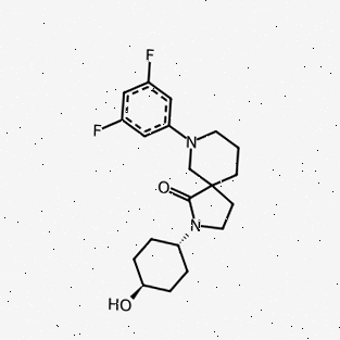 O=C1N([C@H]2CC[C@H](O)CC2)CCC12CCCN(c1cc(F)cc(F)c1)C2